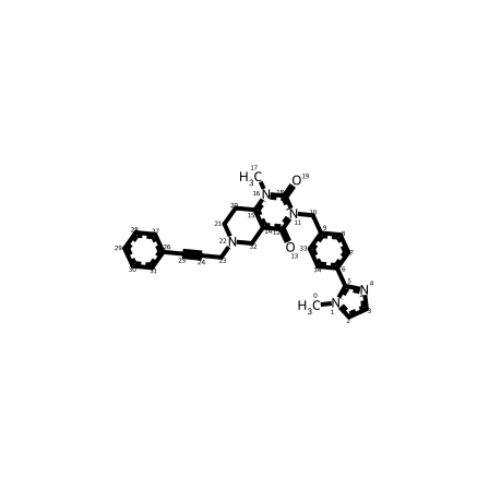 Cn1ccnc1-c1ccc(Cn2c(=O)c3c(n(C)c2=O)CCN(CC#Cc2ccccc2)C3)cc1